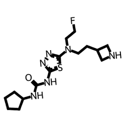 O=C(Nc1nnc(N(CCF)CCC2CNC2)s1)NC1CCCC1